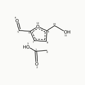 CC(=O)O.O=Cc1ccc(CO)o1